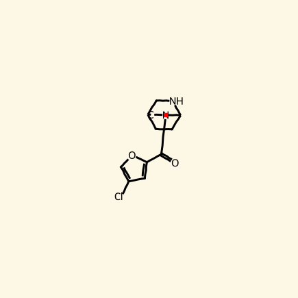 O=C(c1cc(Cl)co1)N1CC2CCC(C1)NC2